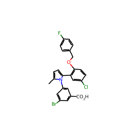 Cc1ccc(-c2cc(Cl)ccc2OCc2ccc(F)cc2)n1-c1cc(Br)cc(C(=O)O)c1